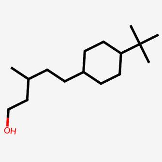 CC(CCO)CCC1CCC(C(C)(C)C)CC1